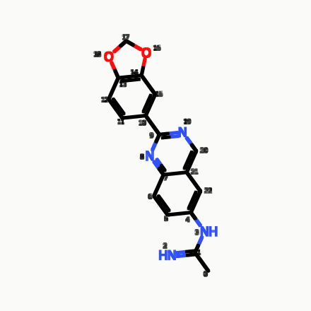 CC(=N)Nc1ccc2nc(-c3ccc4c(c3)OCO4)ncc2c1